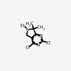 CCN1Cc2c(Cl)nc(Cl)nc2C1(C)C